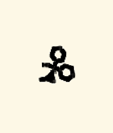 CC1OC1[PH](O)(N1CCOCC1)N1CCOCC1